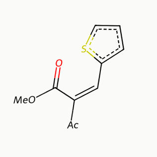 COC(=O)C(=Cc1cccs1)C(C)=O